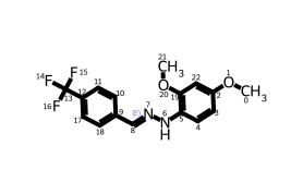 COc1ccc(N/N=C/c2ccc(C(F)(F)F)cc2)c(OC)c1